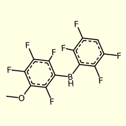 COc1c(F)c(F)c(F)c(Bc2c(F)c(F)cc(F)c2F)c1F